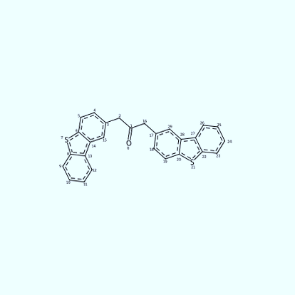 O=C(Cc1ccc2sc3ccccc3c2c1)Cc1ccc2sc3ccccc3c2c1